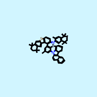 Cc1cc2c3c(c1)-n1c4ccc5ccccc5c4c4cccc(c41)B3N(c1cc3c(cc1C)C(C)(C)CCC3(C)C)c1ccc3sc4cc5c(cc4c3c1-2)C(C)(C)CCC5(C)C